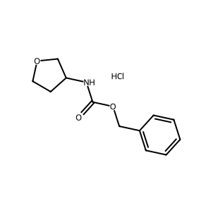 Cl.O=C(NC1CCOC1)OCc1ccccc1